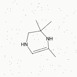 CC1=CNCC(C)(C)N1